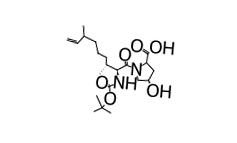 C=CC(C)CCC[C@@H](C)[C@H](NC(=O)OC(C)(C)C)C(=O)N1C[C@H](O)CC1C(=O)O